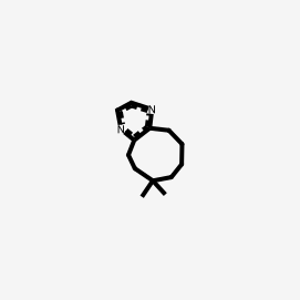 CC1(C)CCCCc2nccnc2CC1